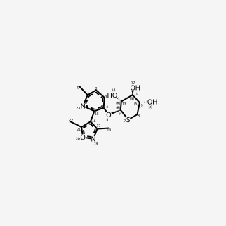 Cc1ccc(O[C@@H]2SC[C@@H](O)[C@H](O)[C@H]2O)c(-c2c(C)noc2C)n1